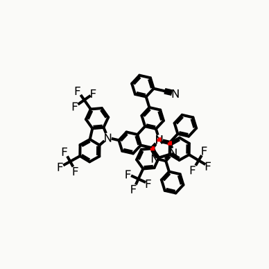 N#Cc1ccccc1-c1ccc(-n2c3ccc(C(F)(F)F)cc3c3cc(C(F)(F)F)ccc32)c(-c2cc(-n3c4ccc(C(F)(F)F)cc4c4cc(C(F)(F)F)ccc43)ccc2-c2nc(-c3ccccc3)nc(-c3ccccc3)n2)c1